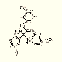 NC1(c2cccc(Cl)c2)Nc2ccc([N+](=O)[O-])cc2N=C1Nc1cccc(Cl)c1